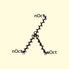 CCCCCCCC/C=C\CCCCCCCCOB(OCCCCCCCC/C=C\CCCCCCCC)OCCCCCCCC/C=C\CCCCCCCC